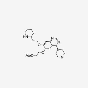 COCCOc1cc2c(N3CC[N]CC3)ncnc2cc1OCCC1CCCCN1